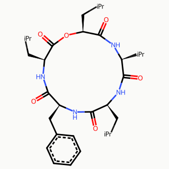 CC(C)C[C@@H]1NC(=O)[C@H](C(C)C)NC(=O)[C@H](CC(C)C)OC(=O)[C@H](CC(C)C)NC(=O)[C@H](Cc2ccccc2)NC1=O